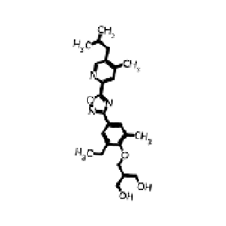 CCc1cc(-c2noc(-c3cc(C)c(CC(C)C)cn3)n2)cc(C)c1OCC(CO)CO